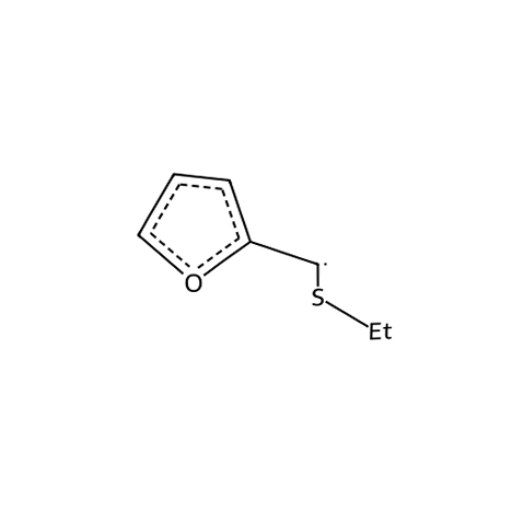 CCS[CH]c1ccco1